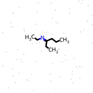 [CH2]C/C(CCC)=N\CC